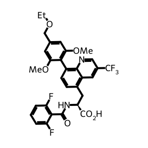 CCOCc1cc(OC)c(-c2ccc(C[C@H](NC(=O)c3c(F)cccc3F)C(=O)O)c3cc(C(F)(F)F)cnc23)c(OC)c1